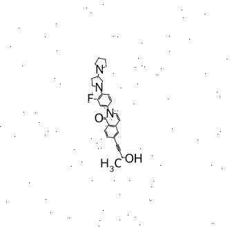 C[C@H](O)C#Cc1ccc2c(=O)n(-c3ccc(N4CC[C@@H](N5CCCC5)C4)c(F)c3)ccc2c1